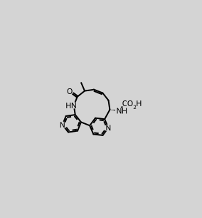 CC1C=CC[C@H](NC(=O)O)c2cc(ccn2)-c2ccncc2NC1=O